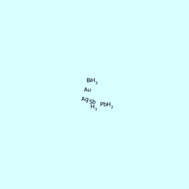 [Ag].[Au].[BiH3].[PbH2].[SbH3]